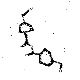 O=Cc1ccc(C(=O)OC(=O)c2ccc(C=O)cc2)cc1